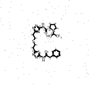 O=C(Cc1ccccc1)Nc1nnc(CCSCCc2nnc(NC(=O)[C@@H]3CCCN3C(O)C(F)(F)F)s2)s1